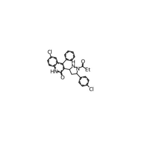 CCC(=O)N1NC(c2c(-c3ccccc3)c3cc(Cl)ccc3[nH]c2=O)CC1c1ccc(Cl)cc1